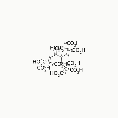 C=C(CC(C(=O)O)(C(=O)O)C(=O)O)C(CC(C(=O)O)(C(=O)O)C(=O)O)CC(C(=O)O)(C(=O)O)C(=O)O